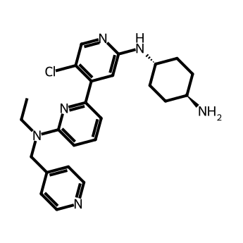 CCN(Cc1ccncc1)c1cccc(-c2cc(N[C@H]3CC[C@H](N)CC3)ncc2Cl)n1